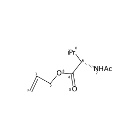 C=CCOC(=O)[C@@H](NC(C)=O)C(C)C